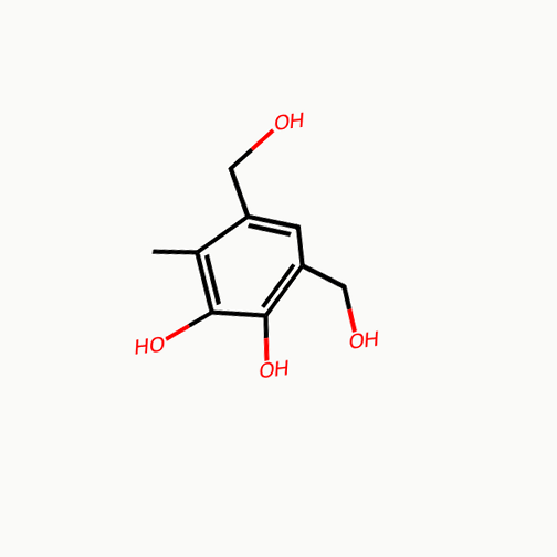 Cc1c(CO)cc(CO)c(O)c1O